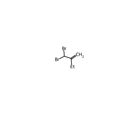 C=C(CC)C(Br)Br